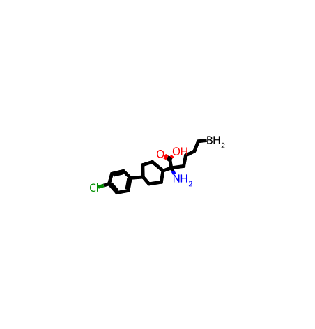 BCCCCC(N)(C(=O)O)C1CCC(c2ccc(Cl)cc2)CC1